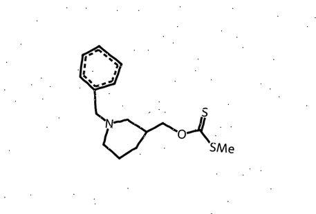 CSC(=S)OCC1CCCN(Cc2ccccc2)C1